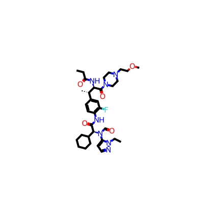 CCC(=O)N[C@@H](C(=O)N1CCN(CCOC)CC1)[C@@H](C)c1ccc(NC(=O)[C@H](C2CCCCC2)N(C=O)c2ccnn2CC)c(F)c1